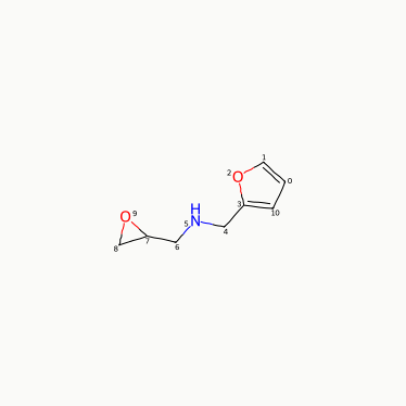 c1coc(CNCC2CO2)c1